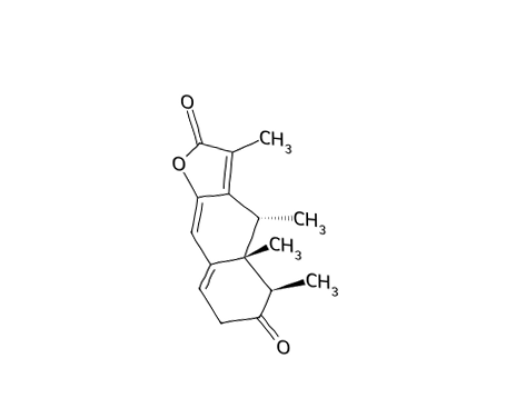 CC1=C2C(=CC3=CCC(=O)[C@H](C)[C@@]3(C)[C@H]2C)OC1=O